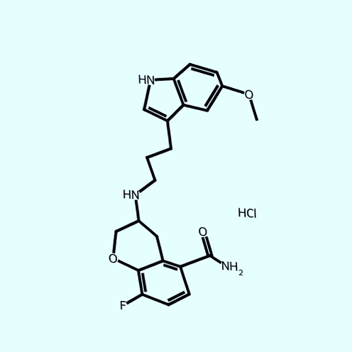 COc1ccc2[nH]cc(CCCNC3COc4c(F)ccc(C(N)=O)c4C3)c2c1.Cl